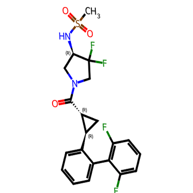 CS(=O)(=O)N[C@@H]1CN(C(=O)[C@@H]2C[C@H]2c2ccccc2-c2c(F)cccc2F)CC1(F)F